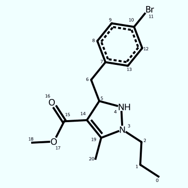 CCCN1NC(Cc2ccc(Br)cc2)C(C(=O)OC)=C1C